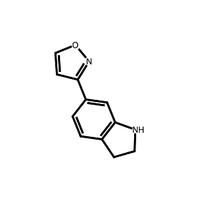 c1cc(-c2ccc3c(c2)NCC3)no1